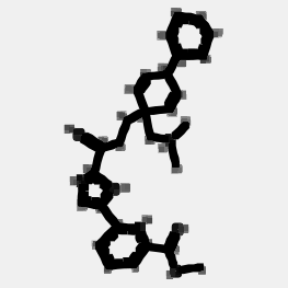 COC(=O)c1cccc(-c2cnc(C(=O)CCC3(CN(C)C)C=CC(c4ccccc4)C=C3)o2)n1